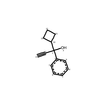 C#CC(O)(c1ccccc1)C1CCC1